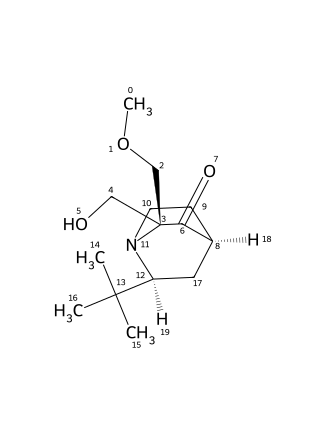 COC[C@@]1(CO)C(=O)[C@H]2CCN1[C@H](C(C)(C)C)C2